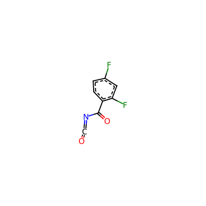 O=C=NC(=O)c1ccc(F)cc1F